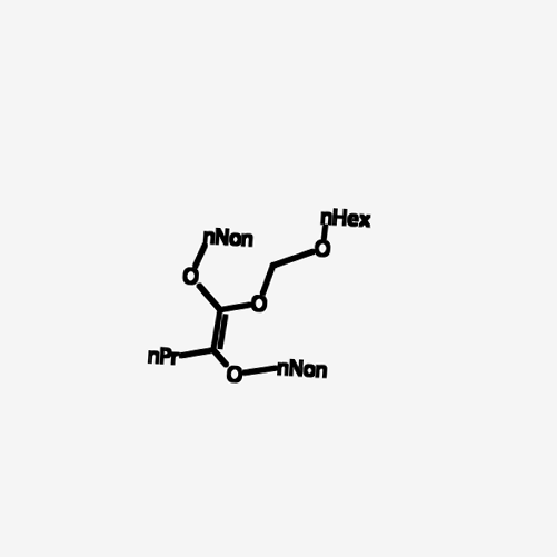 CCCCCCCCCOC(CCC)=C(OCCCCCCCCC)OCOCCCCCC